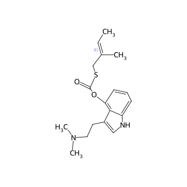 C/C=C(\C)CSC(=O)Oc1cccc2[nH]cc(CCN(C)C)c12